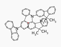 CC1(C)c2ccccc2-c2ccc(N(c3ccccc3-c3cccc(-n4c5ccccc5c5ccccc54)c3)c3cccc4c3-c3ccccc3C4(C)C)cc21